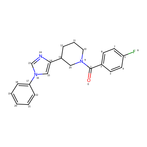 O=C(c1ccc(F)cc1)N1CCCC(c2cn(-c3ccccc3)cn2)C1